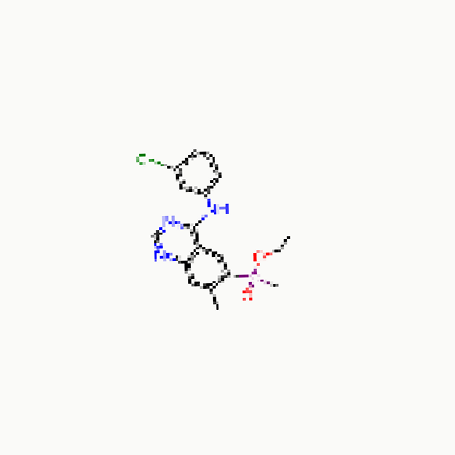 CCOP(C)(=O)c1cc2c(Nc3cccc(Cl)c3)ncnc2cc1C